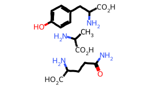 CC(N)C(=O)O.NC(=O)CCC(N)C(=O)O.NC(Cc1ccc(O)cc1)C(=O)O